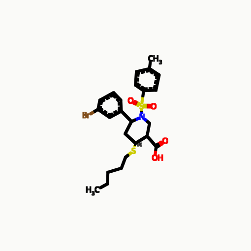 CCCCCS[C@@H]1CC(c2cccc(Br)c2)N(S(=O)(=O)c2ccc(C)cc2)CC1C(=O)O